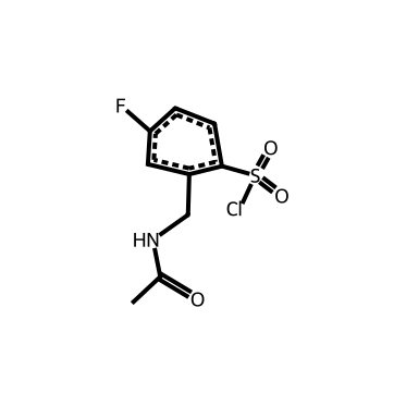 CC(=O)NCc1cc(F)ccc1S(=O)(=O)Cl